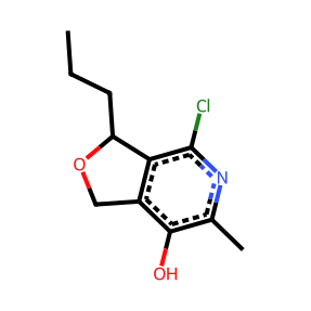 CCCC1OCc2c(O)c(C)nc(Cl)c21